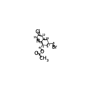 CC(=O)OCc1cc(CBr)cc2cc(Cl)cnc12